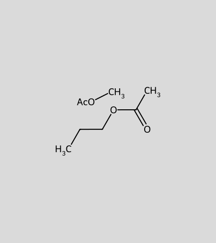 CCCOC(C)=O.COC(C)=O